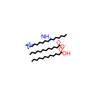 CCCCCCCCCCCC(=O)O.CCCCCCCCCCCC(=O)[O-].CCCCCCCCCCCCCC[N+](C)(C)C.N